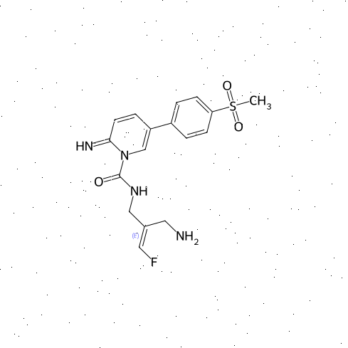 CS(=O)(=O)c1ccc(-c2ccc(=N)n(C(=O)NC/C(=C/F)CN)c2)cc1